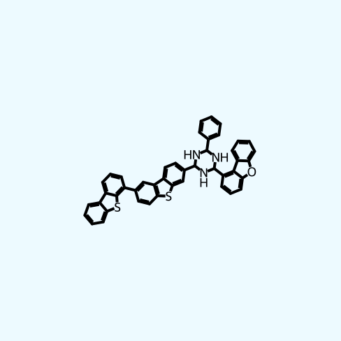 c1ccc(C2NC(c3ccc4c(c3)sc3ccc(-c5cccc6c5sc5ccccc56)cc34)NC(c3cccc4oc5ccccc5c34)N2)cc1